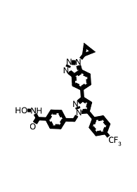 O=C(NO)c1ccc(Cn2nc(-c3ccc4c(c3)nnn4C3CC3)cc2-c2ccc(C(F)(F)F)cc2)cc1